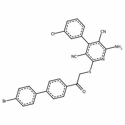 N#Cc1c(N)nc(SCC(=O)c2ccc(-c3ccc(Br)cc3)cc2)c(C#N)c1-c1cccc(Cl)c1